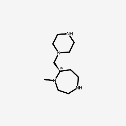 CN1CCNCC[C@@H]1CN1CCNCC1